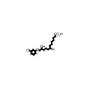 CC(=O)C(CCCCCCC(=O)O)CCCC(O)COc1cccc(Cl)c1